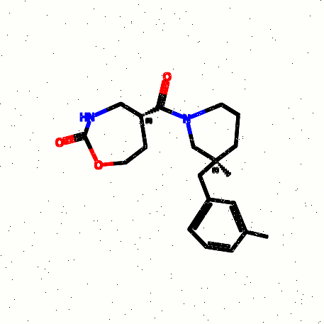 Cc1cccc(C[C@]2(C)CCCN(C(=O)[C@@H]3CCOC(=O)NC3)C2)c1